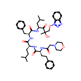 CC(C)CC[C@H](NC(=O)[C@H](CCc1ccccc1)NC(=O)CN1CCOCC1)C(=O)N[C@@H](Cc1ccccc1)C(=O)NC(CC(C)C)C(=O)C(C)(O)COn1nnc2ccccc21